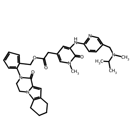 CC(C)N(C)Cc1ccc(Nc2cc(CC(=O)OCc3ccccc3N3CCn4c(cc5c4CCCC5)C3=O)cn(C)c2=O)nc1